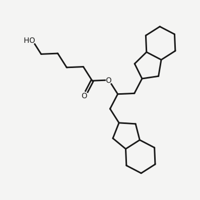 O=C(CCCCO)OC(CC1CC2CCCCC2C1)CC1CC2CCCCC2C1